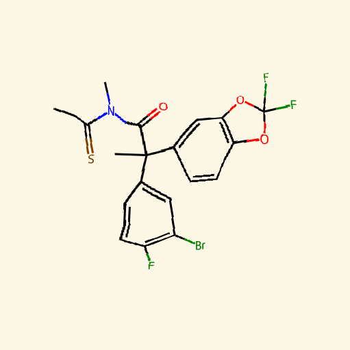 CC(=S)N(C)C(=O)C(C)(c1ccc(F)c(Br)c1)c1ccc2c(c1)OC(F)(F)O2